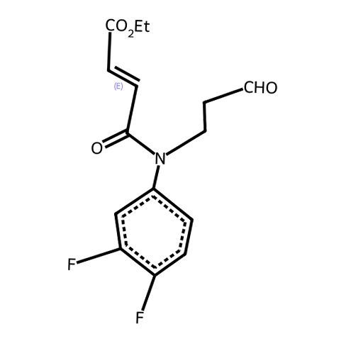 CCOC(=O)/C=C/C(=O)N(CCC=O)c1ccc(F)c(F)c1